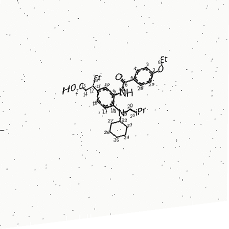 CCOc1ccc(C(=O)Nc2cc(C(CC)CC(=O)O)ccc2N(CC(C)C)C2CCCCC2)cc1